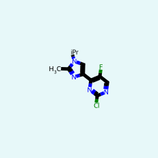 Cc1nc(-c2nc(Cl)ncc2F)cn1C(C)C